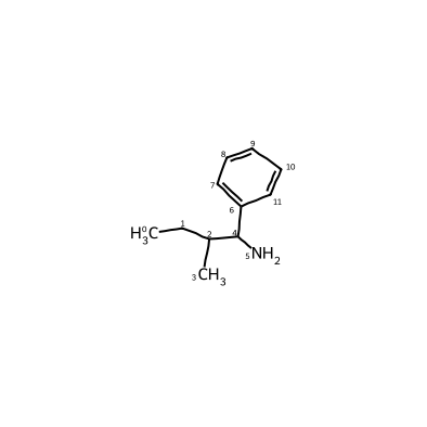 CCC(C)C(N)c1ccccc1